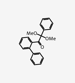 COC(OC)(C(=O)c1ccccc1-c1ccccc1)c1ccccc1